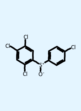 [O-][S+](c1ccc(Cl)cc1)c1cc(Cl)c(Cl)cc1Cl